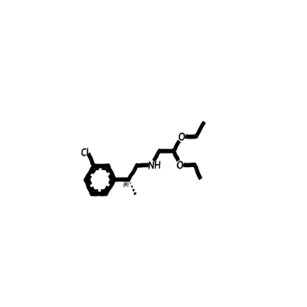 CCOC(CNC[C@H](C)c1cccc(Cl)c1)OCC